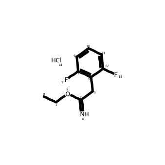 CCOC(=N)Cc1c(F)cccc1F.Cl